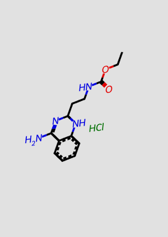 CCOC(=O)NCCC1N=C(N)c2ccccc2N1.Cl